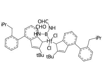 CC(C)Cc1ccccc1-c1cccc2c1C=C(C(C)(C)C)[CH]2[Hf]([Cl])([Cl])([B](NC=O)NC=O)[CH]1C(C(C)(C)C)=Cc2c(-c3ccccc3CC(C)C)cccc21